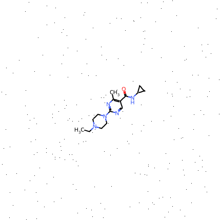 CCN1CCN(c2ncc(C(=O)NC3CC3)c(C)n2)CC1